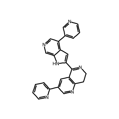 c1ccc(-c2cnc3c(c2)C(c2cc4c(-c5cccnc5)cncc4[nH]2)=NCC3)nc1